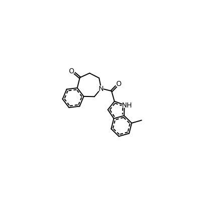 Cc1cccc2cc(C(=O)N3CCC(=O)c4ccccc4C3)[nH]c12